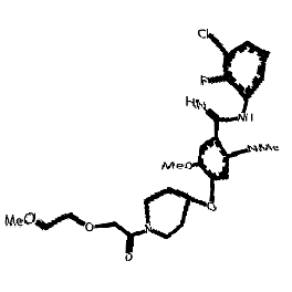 CNc1cc(OC2CCN(C(=O)COCCOC)CC2)c(OC)cc1C(=N)Nc1cccc(Cl)c1F